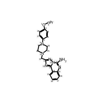 CCCOc1ccc(N2CCN(Cc3nc4c5ccccc5nc(N)n4n3)CC2)cc1